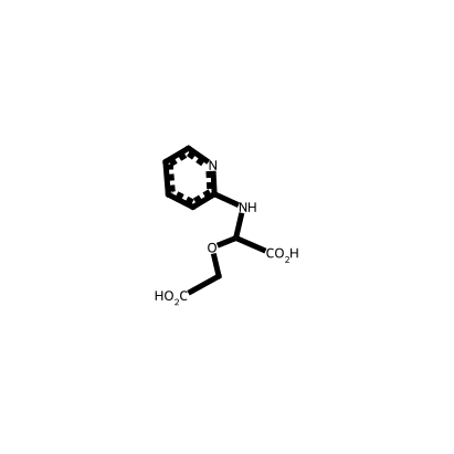 O=C(O)COC(Nc1ccccn1)C(=O)O